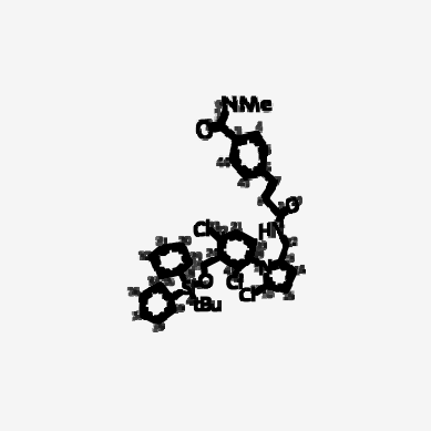 CNC(=O)c1ccc(/C=C/C(=O)NCc2ccc(Cl)n2-c2ccc(Cl)c(CO[Si](c3ccccc3)(c3ccccc3)C(C)(C)C)c2Cl)cc1